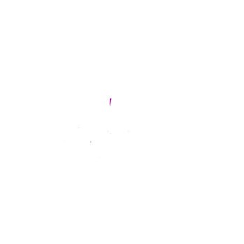 O=C1N2C(I)(I)C(I)(I)S[C@]2(I)C1(I)I